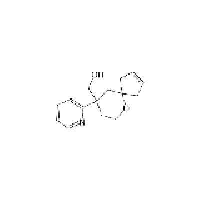 OCC1(c2ccccn2)CCOC2(CC=CC2)C1